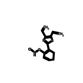 C=Cc1nc(C2=C(ONCl)C=CCC2)sc1C=C